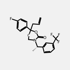 C=CCC1(c2ccc(F)cc2)CCN([C@@H](C)c2cccc(C(F)(F)F)c2)C(=O)O1